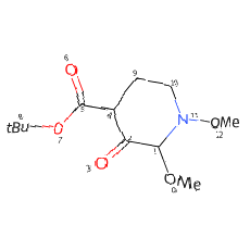 COC1C(=O)C(C(=O)OC(C)(C)C)CCN1OC